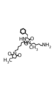 CC1CC(=O)N(CCCCCC(=O)N[C@@H](Cc2ccccc2)C(=O)N[C@H](C)CCCCN)C1=O